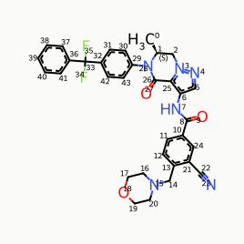 C[C@H]1Cn2ncc(NC(=O)c3ccc(CN4CCOCC4)c(C#N)c3)c2C(=O)N1c1ccc(C(F)(F)c2ccccc2)cc1